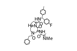 CN[C@@H](C)C(=O)N[C@H]1CN(C(=O)Cc2ccccc2)CC[C@H]2CC[C@@H](C(=O)NC(c3ccc(C)cc3)c3ccc(F)cc3)N2C1=O